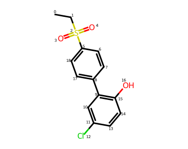 CCS(=O)(=O)c1ccc(-c2cc(Cl)ccc2O)cc1